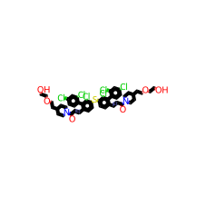 O=C(/C=C/c1ccc(Sc2ccc(/C=C/C(=O)N3CCC(CCOCCO)CC3)c(-c3ccc(Cl)cc3Cl)c2Cl)c(Cl)c1-c1ccc(Cl)cc1Cl)N1CCC(CCOCCO)CC1